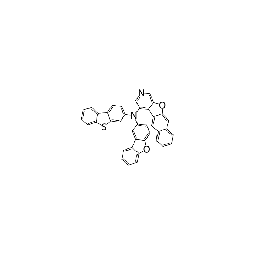 c1ccc2cc3c(cc2c1)oc1cncc(N(c2ccc4c(c2)sc2ccccc24)c2ccc4oc5ccccc5c4c2)c13